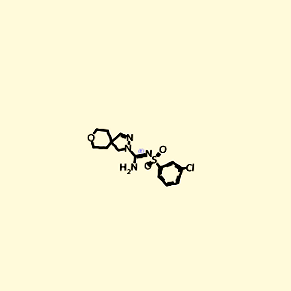 N/C(=N\S(=O)(=O)c1cccc(Cl)c1)N1CC2(C=N1)CCOCC2